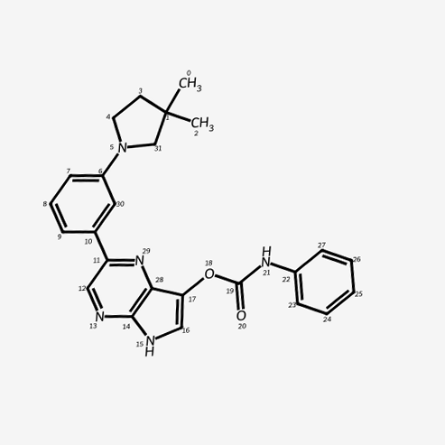 CC1(C)CCN(c2cccc(-c3cnc4[nH]cc(OC(=O)Nc5ccccc5)c4n3)c2)C1